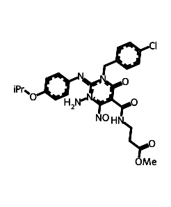 COC(=O)CCNC(=O)c1c(N=O)n(N)/c(=N\c2ccc(OC(C)C)cc2)n(Cc2ccc(Cl)cc2)c1=O